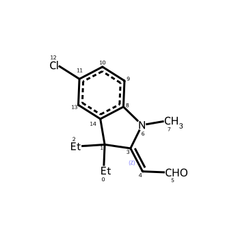 CCC1(CC)/C(=C/C=O)N(C)c2ccc(Cl)cc21